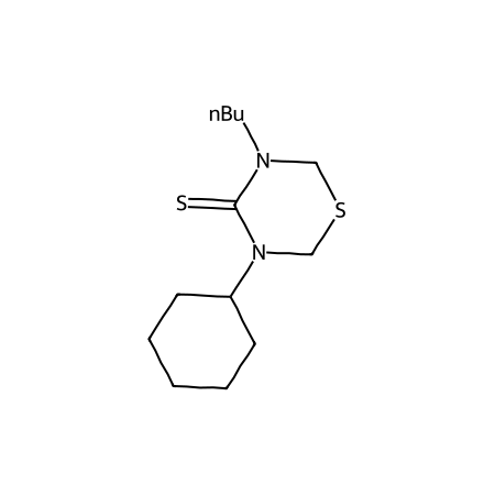 CCCCN1CSCN(C2CCCCC2)C1=S